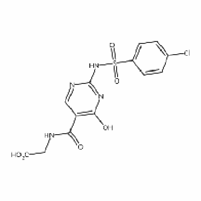 O=C(O)CNC(=O)c1cnc(NS(=O)(=O)c2ccc(Cl)cc2)nc1O